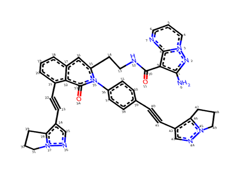 Nc1nn2cccnc2c1C(=O)NCCc1cc2cccc(C#Cc3cnn4c3CCC4)c2c(=O)n1-c1ccc(C#Cc2cnn3c2CCC3)cc1